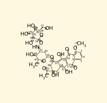 COc1cccc2c1C(=O)c1c(O)c3c(c(O)c1C2=O)C[C@@](O)(C(C)=O)C[C@@H]3OC1CC(NO[C@H]2O[C@H](CO)[C@H](O)[C@H](O)[C@H]2O)C(O)C(C)O1